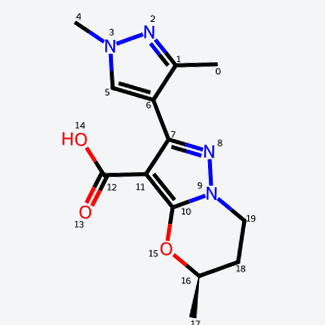 Cc1nn(C)cc1-c1nn2c(c1C(=O)O)O[C@H](C)CC2